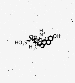 C[C@H](CCC(=O)N(C)CCS(=O)(=O)O)[C@H]1CCC2C3CCC4C[C@H](O)CC[C@]4(C)C3C[C@H](O)[C@@]21C.N